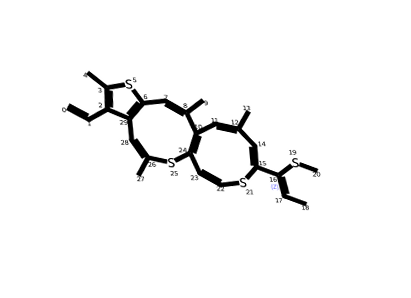 C=Cc1c(C)sc2cc(C)c3cc(C)cc(/C(=C/C)SC)sccc3sc(C)cc12